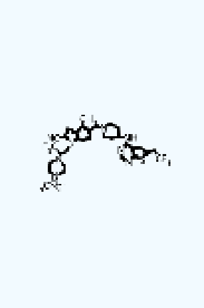 Cc1c(CN2CCC(Nc3ncnc4sc(CC(F)(F)F)cc34)CC2)ccc2c1cc(C#N)n2CC(N1CCN([S+](C)[O-])CC1)C(F)(F)F